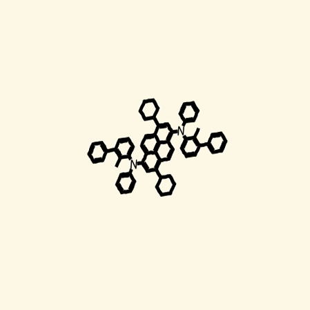 Cc1c(-c2ccccc2)cccc1N(c1ccccc1)c1cc(C2CCCCC2)c2ccc3c(N(c4ccccc4)c4cccc(-c5ccccc5)c4C)cc(C4CCCCC4)c4ccc1c2c43